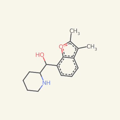 Cc1oc2c(C(O)C3CCCCN3)cccc2c1C